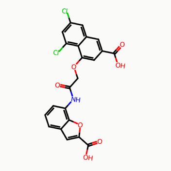 O=C(COc1cc(C(=O)O)cc2cc(Cl)cc(Cl)c12)Nc1cccc2cc(C(=O)O)oc12